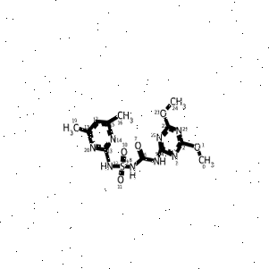 COc1nc(NC(=O)NS(=O)(=O)Nc2nc(C)cc(C)n2)nc(OC)n1